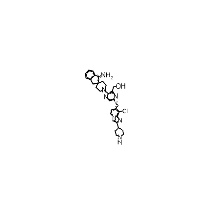 N[C@@H]1c2ccccc2CC12CCN(c1ncc(Sc3ccn4cc(C5CCNCC5)nc4c3Cl)nc1CO)CC2